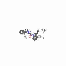 Cc1cccc2c1C(CCC(=O)O)CN2C(=O)CCNC(C)(C)c1ccccc1